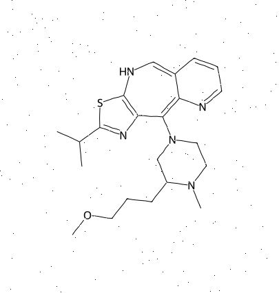 COCCCC1CN(C2=c3ncccc3=CNc3sc(C(C)C)nc32)CCN1C